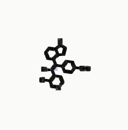 CC/C(=C(/c1ccc(C=O)cc1)c1cccc2[nH]ccc12)c1ccncc1Cl